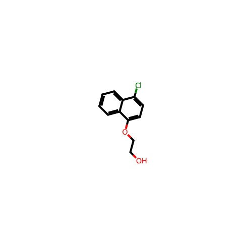 OCCOc1ccc(Cl)c2ccccc12